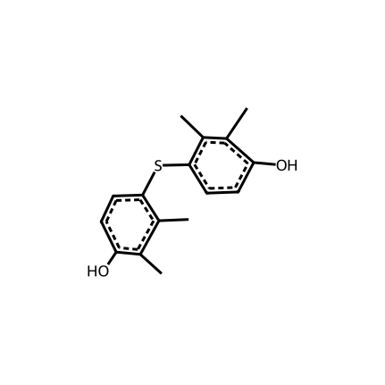 Cc1c(O)ccc(Sc2ccc(O)c(C)c2C)c1C